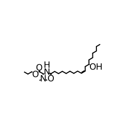 CCCCCC[C@@H](O)C/C=C\CCCCCCCC(=O)N[C@@H](C(=O)OCCC)N(C)C